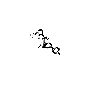 CN1CCN(c2ccc(NC(=O)c3cccn(N)c3=O)cc2)CC1